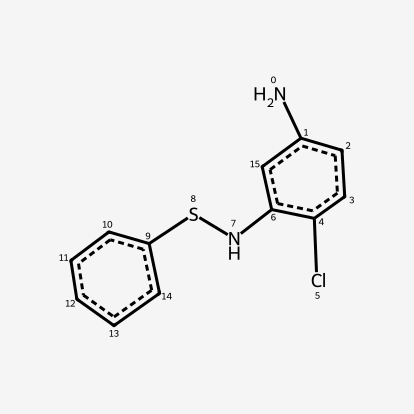 Nc1ccc(Cl)c(NSc2ccccc2)c1